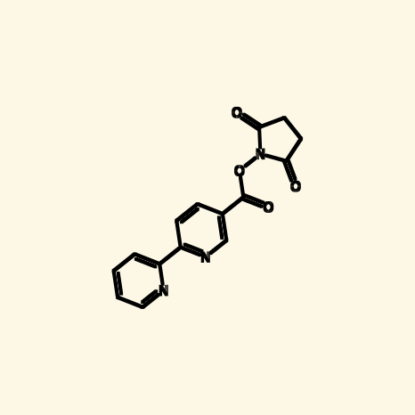 O=C(ON1C(=O)CCC1=O)c1ccc(-c2ccccn2)nc1